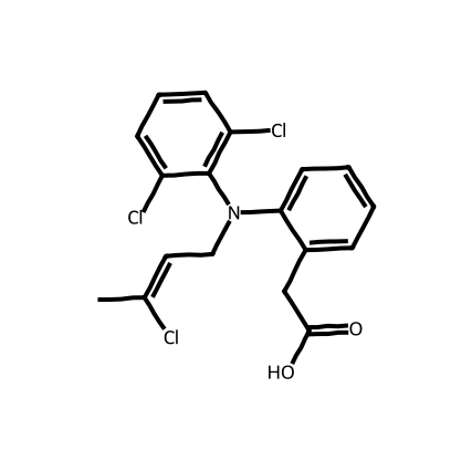 CC(Cl)=CCN(c1ccccc1CC(=O)O)c1c(Cl)cccc1Cl